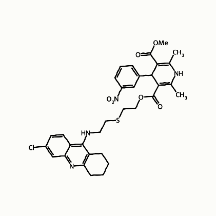 COC(=O)C1=C(C)NC(C)=C(C(=O)OCCSCCNc2c3c(nc4cc(Cl)ccc24)CCCC3)C1c1cccc([N+](=O)[O-])c1